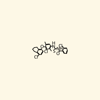 Cc1cc(NC(=S)NC(=O)c2ccccc2Cl)c(C)c(Cl)c1Oc1ccc(Cl)c2c1CCCC2